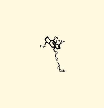 COOCCOCOCC12CC3C(C)CCC3C3(C#N)CC1C=C(C(C)C)C32C(=O)O